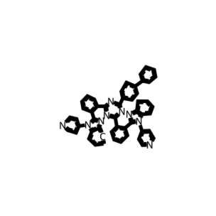 c1ccc(-c2ccc(-c3nc(-c4ccccc4-c4nc5ccccc5n4-c4ccncc4)nc(-c4ccccc4-c4nc5ccccc5n4-c4ccncc4)n3)cc2)cc1